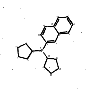 c1ccc2cc(P(C3CCCC3)C3CCCC3)ccc2c1